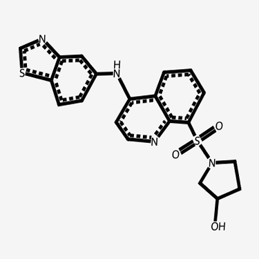 O=S(=O)(c1cccc2c(Nc3ccc4scnc4c3)ccnc12)N1CCC(O)C1